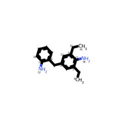 CCc1cc(Cc2ccccc2N)cc(CC)c1N